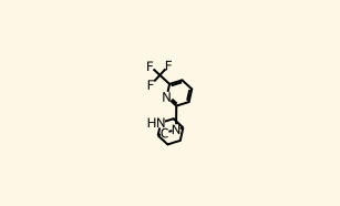 FC(F)(F)c1cccc(N2CC3CCC2CN3)n1